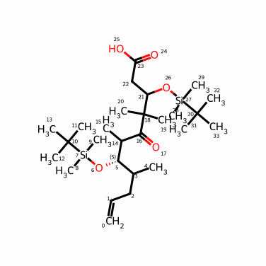 C=CCC(C)[C@H](O[Si](C)(C)C(C)(C)C)C(C)C(=O)C(C)(C)C(CC(=O)O)O[Si](C)(C)C(C)(C)C